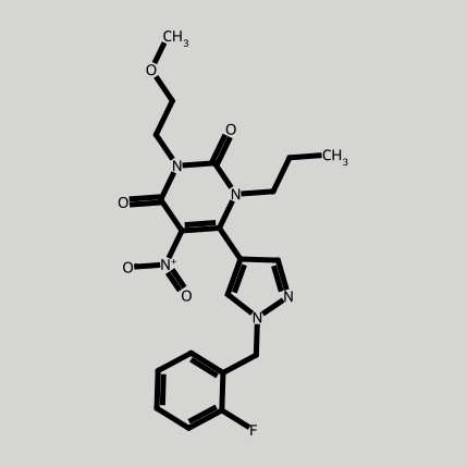 CCCn1c(-c2cnn(Cc3ccccc3F)c2)c([N+](=O)[O-])c(=O)n(CCOC)c1=O